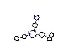 C1=CC(C2=C/CC/C(c3ccc(-c4ccccc4)cc3)=N\C/C(c3ccc(-c4cccnc4)cc3)=C\2)=CC=C(c2cccc3ccccc23)C1